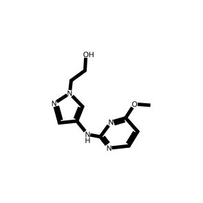 COc1ccnc(Nc2cnn(CCO)c2)n1